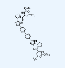 COC(=O)NC(CCC(F)(F)F)C(=O)N1CCC[C@H]1c1ncc(-c2ccc(-c3ccc(-c4cnc([C@@H]5CCCN5C(=O)[C@H](CCC(F)(F)F)NC(=O)OC)[nH]4)cc3)cc2)[nH]1